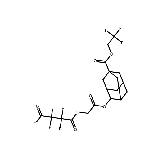 O=C(COC(=O)C(F)(F)C(F)(F)C(=O)O)OC1C2CC3CC1CC(C(=O)OCC(F)(F)F)(C3)C2